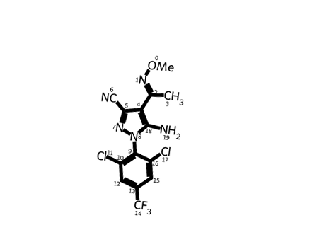 CON=C(C)c1c(C#N)nn(-c2c(Cl)cc(C(F)(F)F)cc2Cl)c1N